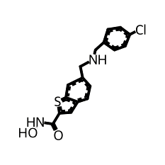 O=C(NO)c1cc2ccc(CNCc3ccc(Cl)cc3)cc2s1